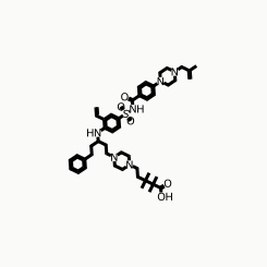 C=Cc1cc(S(=O)(=O)NC(=O)c2ccc(N3CCN(CC(=C)C)CC3)cc2)ccc1NC(CCc1ccccc1)CCN1CCN(CCC(C)(C)C(C)(C)C(=O)O)CC1